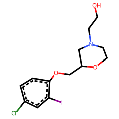 OCCN1CCOC(COc2ccc(Cl)cc2I)C1